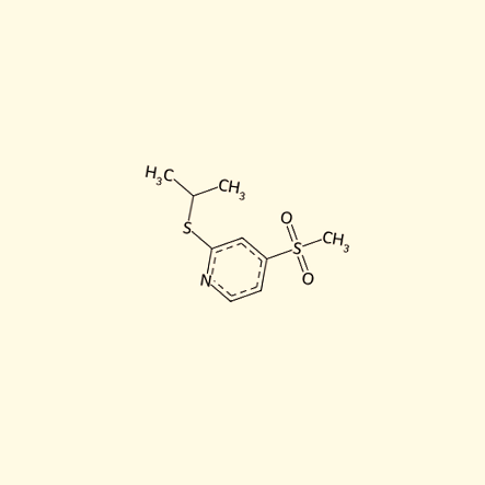 CC(C)Sc1cc(S(C)(=O)=O)ccn1